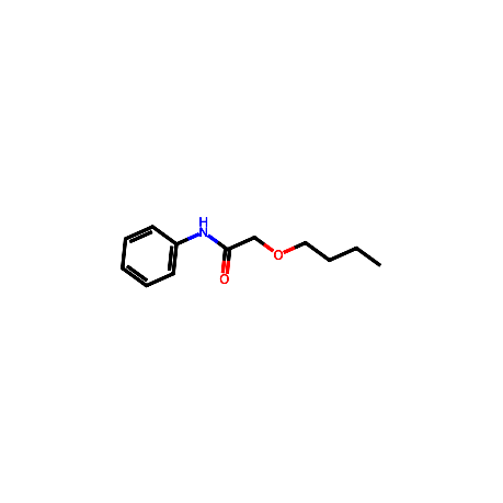 CCCCOCC(=O)Nc1ccccc1